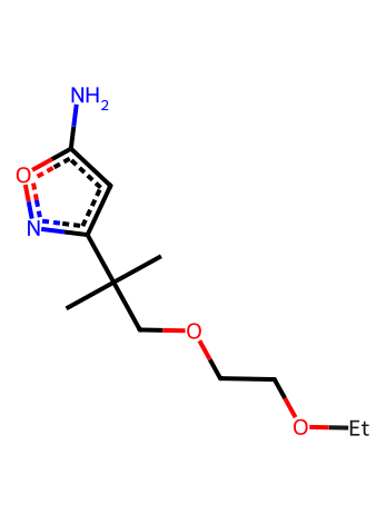 CCOCCOCC(C)(C)c1cc(N)on1